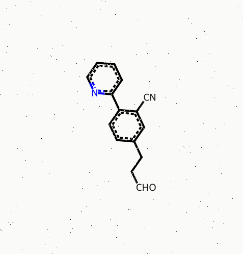 N#Cc1cc(CCC=O)ccc1-c1ccccn1